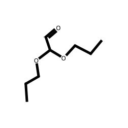 CCCOC([C]=O)OCCC